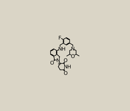 CC1CN(Cc2ccc(F)c(CNc3cccc4c3CN([C@@H]3CCC(=O)NC3=O)C4=O)c2)CC(C)O1